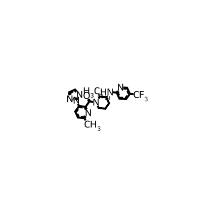 Cc1ccc(-n2nccn2)c(C(=O)N2CCC[C@H](Nc3ccc(C(F)(F)F)cn3)[C@H]2C)n1